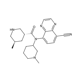 C[C@H]1CNC[C@H](C(=O)N(c2ccc(C#N)c3nccnc23)C2CCCN(C)C2)C1